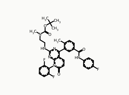 Cc1ccc(C(=O)Nc2ccc(F)cc2)cc1-c1nc(NCCN(C)C(=O)OC(C)(C)C)nc2c1ccc(=O)n2-c1c(F)cccc1F